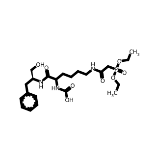 CCOP(=O)(CC(=O)NCCCCC(NC(=O)O)C(=O)N[C@H](CO)Cc1ccccc1)OCC